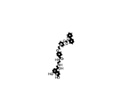 O=C(Nc1ccccc1-c1ccccc1)OC1CCN(CCOc2ccc(C(=O)NCCNC[C@H](O)c3ccc(O)c4[nH]c(=O)ccc34)cc2)CC1